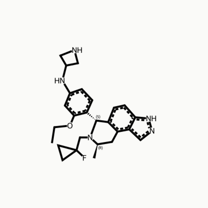 CCOc1cc(NC2CNC2)ccc1[C@@H]1c2ccc3[nH]ncc3c2C[C@@H](C)N1CC1(F)CC1